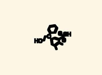 Cc1cccc(S(=O)(=O)O)c1C.OCCOc1ccccc1